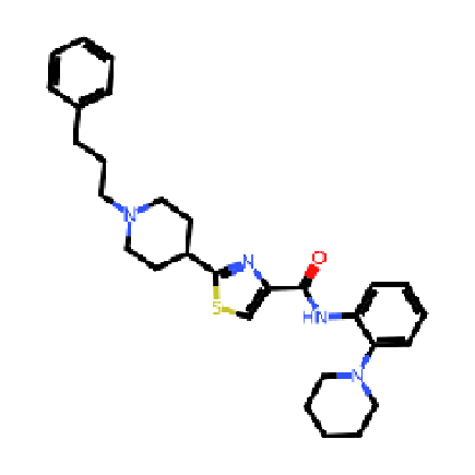 O=C(Nc1ccccc1N1CCCCC1)c1csc(C2CCN(CCCc3ccccc3)CC2)n1